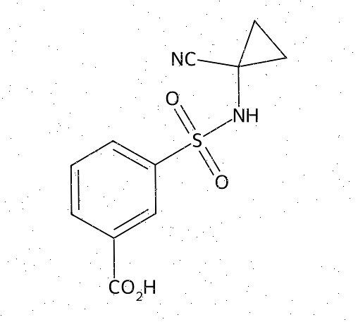 N#CC1(NS(=O)(=O)c2cccc(C(=O)O)c2)CC1